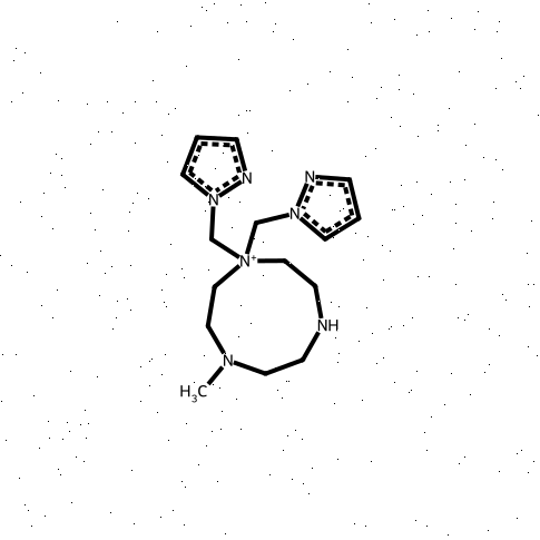 CN1CCNCC[N+](Cn2cccn2)(Cn2cccn2)CC1